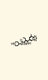 CCc1c(C(=O)NC2CCNCC2)n[nH]c1-c1cc(C)c2ncnn2c1